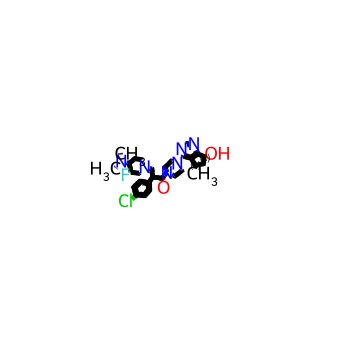 C[C@@H]1C[C@@H](O)c2ncnc(N3CCN(C(=O)C(CN4CCC(N(C)C)C(F)C4)c4ccc(Cl)cc4)CC3)c21